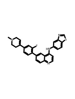 CN1CC=C(c2ccc(-c3ccc4nccc(Nc5ccc6scnc6c5)c4c3)c(F)c2)CC1